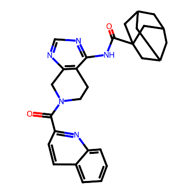 O=C(c1ccc2ccccc2n1)N1CCc2c(ncnc2NC(=O)C23CC4CC(CC(C4)C2)C3)C1